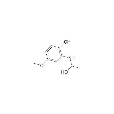 COc1ccc(O)c(NC(C)O)c1